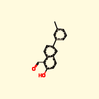 Cc1cccc(-c2ccc3c(C=O)c(O)ccc3c2)c1